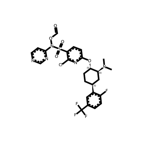 CN(C)[C@H]1C[C@@H](c2cc(C(F)(F)F)ccc2F)CC[C@@H]1Oc1ccc(S(=O)(=O)N(OC=O)c2ccncn2)c(Cl)n1